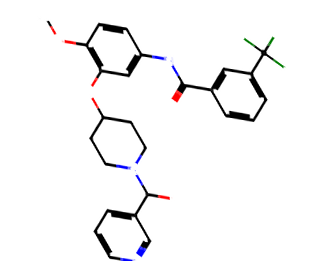 COc1ccc(NC(=O)c2cccc(C(F)(F)F)c2)cc1OC1CCN(C(O)c2cccnc2)CC1